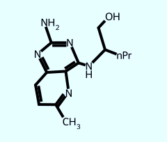 CCCC(CO)Nc1nc(N)nc2ccc(C)nc12